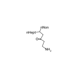 CCCCCCCCCC(CCCCCCC)CC(=O)CCN